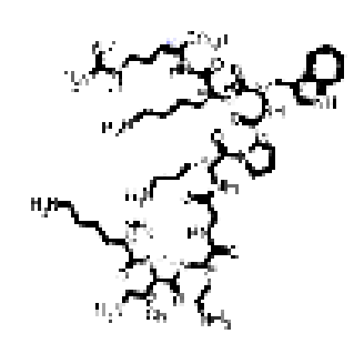 N=C(N)NCC/C=C(\NC(=O)[C@H](CCCCN)NC(=O)[C@H](Cc1c[nH]c2ccccc12)NC(=O)[C@@H]1CCCN1C(=O)[C@@H](CCCN)NC(=O)CNC(=O)[C@H](CCN)NC(=O)C(NC(=O)[C@@H](N)CCCCN)[C@@H](O)CN)C(=O)O